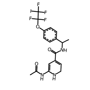 CC(=O)NC1=CC(C(=O)NC(C)c2ccc(OC(F)(F)C(F)(F)I)cc2)=CCN1